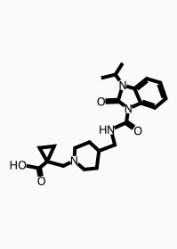 CC(C)n1c(=O)n(C(=O)NCC2CCN(CC3(C(=O)O)CC3)CC2)c2ccccc21